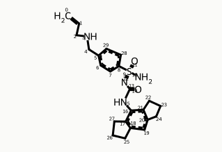 C=CCNCc1ccc(S(N)(=O)=NC(=O)Nc2c3c(cc4c2CCC4)CCC3)cc1